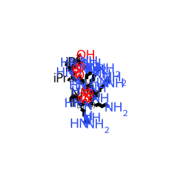 CN[C@@H](CC(C)C)C(=O)N[C@@H](CCCNC(=N)N)C(=O)N[C@@H](CCCCN)C(=O)N[C@@H](CCCNC(=N)N)C(=O)N[C@@H](CCCNC(=N)N)C(=O)N[C@@H](CCCNC(=N)N)C(=O)N[C@@H](CC(C)C)C(=O)N[C@@H](CC(C)C)C(=O)N[C@@H](CO)C(N)=O